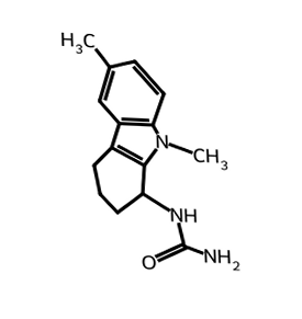 Cc1ccc2c(c1)c1c(n2C)C(NC(N)=O)CCC1